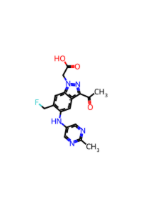 CC(=O)c1nn(CC(=O)O)c2cc(CF)c(Nc3cnc(C)nc3)cc12